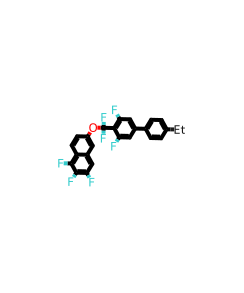 CCc1ccc(-c2cc(F)c(C(F)(F)Oc3ccc4c(F)c(F)c(F)cc4c3)c(F)c2)cc1